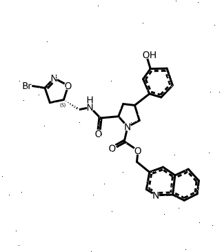 O=C(NC[C@@H]1CC(Br)=NO1)C1CC(c2cccc(O)c2)CN1C(=O)OCc1cnc2ccccc2c1